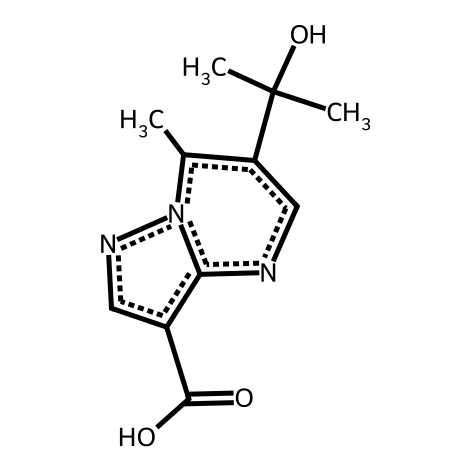 Cc1c(C(C)(C)O)cnc2c(C(=O)O)cnn12